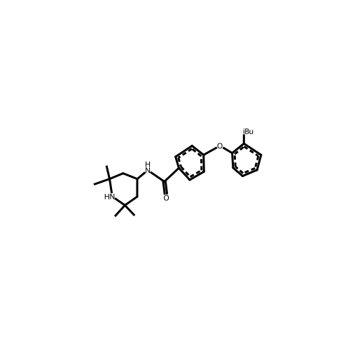 CCC(C)c1ccccc1Oc1ccc(C(=O)NC2CC(C)(C)NC(C)(C)C2)cc1